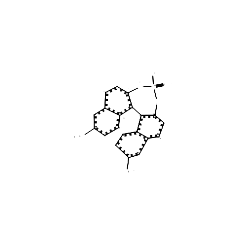 CCCCCCCCCCc1ccc2c3c(ccc2c1)OP(=O)(O)Oc1ccc2cc(CCCCCCCCCC)ccc2c1-3